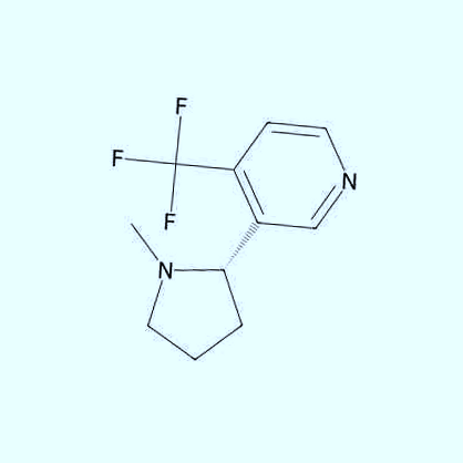 CN1CCC[C@H]1c1cnccc1C(F)(F)F